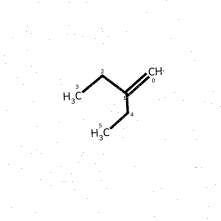 [CH]=C(CC)CC